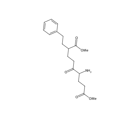 COC(=O)CCC(N)C(=O)CCC(CCc1ccccc1)C(=O)OC